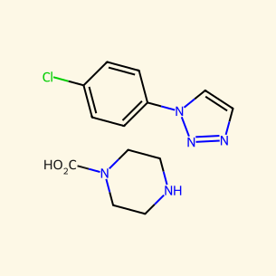 Clc1ccc(-n2ccnn2)cc1.O=C(O)N1CCNCC1